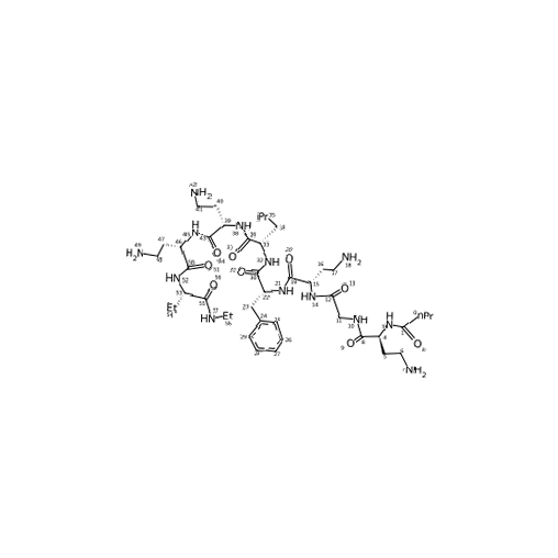 CCCC(=O)N[C@@H](CCN)C(=O)NCC(=O)N[C@@H](CCN)C(=O)N[C@H](Cc1ccccc1)C(=O)N[C@@H](CC(C)C)C(=O)N[C@@H](CCN)C(=O)N[C@@H](CCN)C(=O)N[C@@H](CC)C(=O)NCC